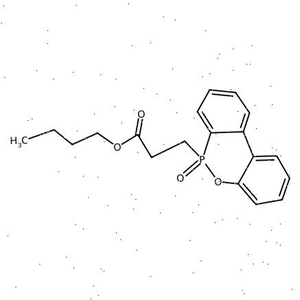 CCCCOC(=O)CCP1(=O)Oc2ccccc2-c2ccccc21